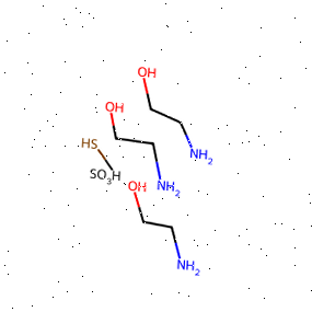 NCCO.NCCO.NCCO.O=S(=O)(O)S